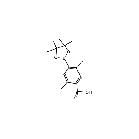 Cc1cc(B2OC(C)(C)C(C)(C)O2)c(C)nc1C(=O)O